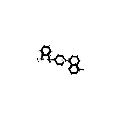 Cc1cccc2c1CCC[C@H]2N1CCC(Nc2ccccc2N)CC1